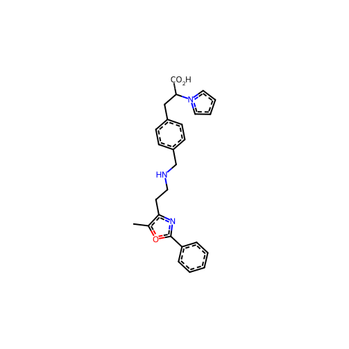 Cc1oc(-c2ccccc2)nc1CCNCc1ccc(CC(C(=O)O)n2cccc2)cc1